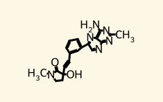 Cc1nc(N)c2nc(-c3cccc(C#CC4(O)CCN(C)C4=O)c3)cnc2n1